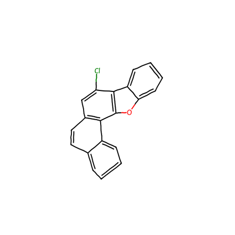 Clc1cc2ccc3ccccc3c2c2oc3ccccc3c12